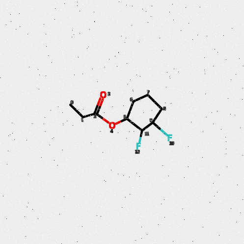 CCC(=O)OC1CCCC(F)C1F